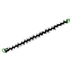 C[Si](C)(Cl)CCCCCCCCCCCCCCCCCCCCCCCCCCCCCCCCCCCCCCCCl